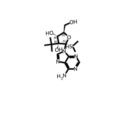 C[SiH](C)[C@@]1(n2cnc3c(N)ncnc32)O[C@H](CO)[C@@H](O)[C@]1(O)C(C)(C)C